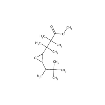 COC(=O)C(C)(C)C(C)(C)C1OC1C(C)C(C)(C)C